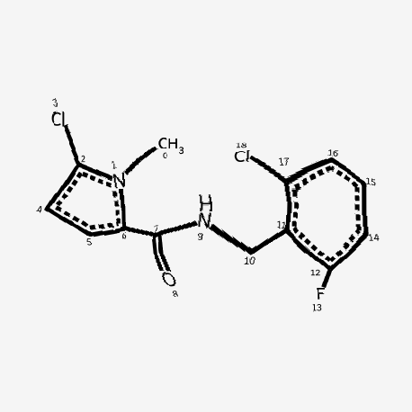 Cn1c(Cl)ccc1C(=O)NCc1c(F)cccc1Cl